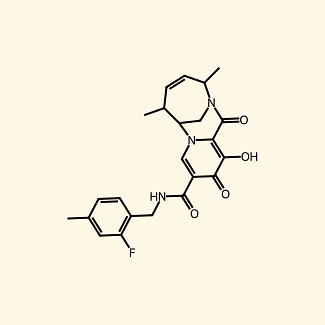 Cc1ccc(CNC(=O)c2cn3c(c(O)c2=O)C(=O)N2CC3C(C)C=CC2C)c(F)c1